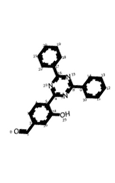 O=Cc1ccc(-c2nc(-c3ccccc3)nc(-c3ccccc3)n2)c(O)c1